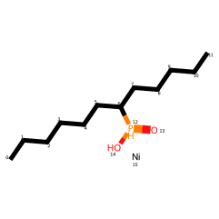 CCCCCCC(CCCCC)[PH](=O)O.[Ni]